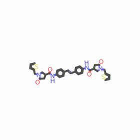 O=C(Nc1ccc(/C=C/c2ccc(NC(=O)C3CC(=O)N(Cc4cccs4)C3)cc2)cc1)C1CC(=O)N(Cc2cccs2)C1